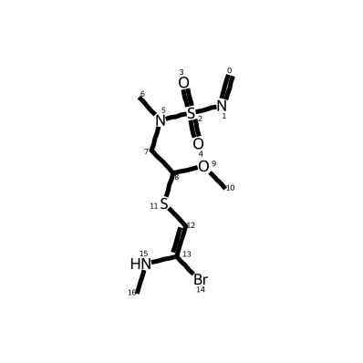 C=NS(=O)(=O)N(C)CC(OC)S/C=C(/Br)NC